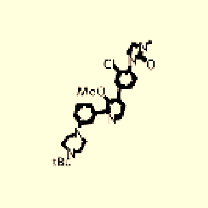 COc1c(-c2ccc(-n3ccn(C)c3=O)c(Cl)c2)ccnc1-c1cccc(N2CCN(C(C)(C)C)CC2)c1